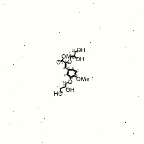 COC(=O)C(=Cc1ccc(OC)c(OCC(O)CO)c1)OCC(O)CO